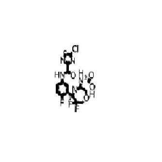 C[C@]1(c2cc(NC(=O)c3nsc(Cl)n3)ccc2F)N=C(N)COCC1(F)F.O=CO